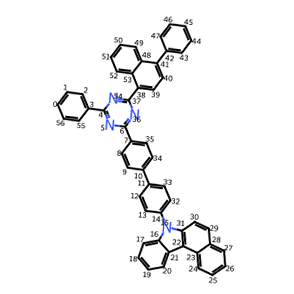 c1ccc(-c2nc(-c3ccc(-c4ccc(-n5c6ccccc6c6c7ccccc7ccc65)cc4)cc3)nc(-c3ccc(-c4ccccc4)c4ccccc34)n2)cc1